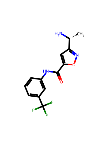 C[C@@H](N)c1cc(C(=O)Nc2cccc(C(F)(F)F)c2)on1